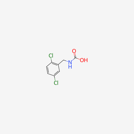 O=C(O)NCc1cc(Cl)ccc1Cl